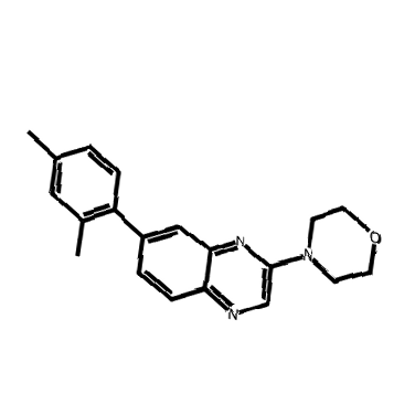 Cc1ccc(-c2ccc3ncc(N4CCOCC4)nc3c2)c(C)c1